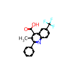 Cc1c(-c2ccccc2)nc2ccc(C(F)(F)F)cc2c1C(=O)O